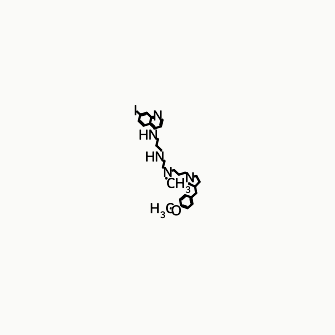 CCN(CCCN1CCC(Cc2ccc(OC)cc2)C1)CCNCCCNc1ccnc2cc(I)ccc12